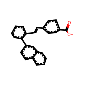 O=C(O)c1ccc(C=Cc2ccccc2-c2ccc3ccccc3c2)cc1